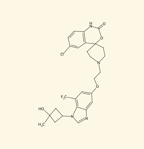 CC1(O)CC(n2cnc3cc(OCCN4CCC5(CC4)OC(=O)Nc4ccc(Cl)cc45)cc(C(F)(F)F)c32)C1